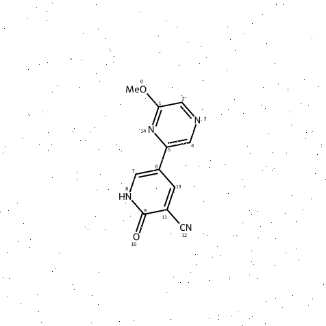 COc1cncc(-c2c[nH]c(=O)c(C#N)c2)n1